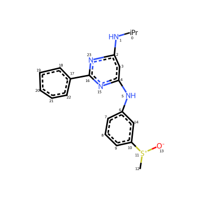 CC(C)Nc1cc(Nc2cccc([S+](C)[O-])c2)nc(-c2ccccc2)n1